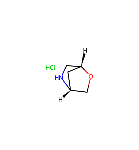 C1O[C@H]2CN[C@@H]1C2.Cl